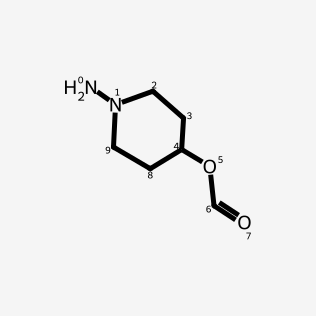 NN1CCC(OC=O)CC1